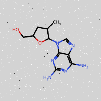 CC1CC(CO)OC1n1cnc2c(N)nc(N)nc21